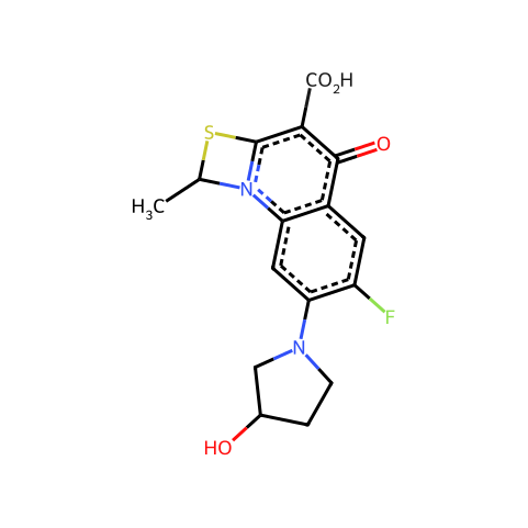 CC1Sc2c(C(=O)O)c(=O)c3cc(F)c(N4CCC(O)C4)cc3n21